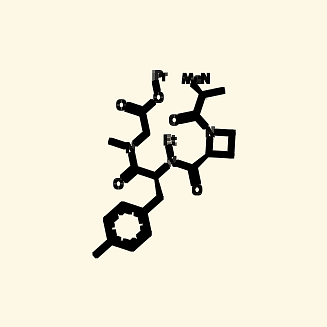 CCN(C(=O)[C@@H]1CCN1C(=O)[C@H](C)NC)[C@@H](Cc1ccc(C)cc1)C(=O)N(C)CC(=O)OC(C)C